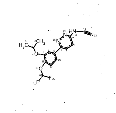 CC(C)Oc1cc(-c2ccc(NC#N)nn2)ccc1OC(F)F